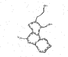 [CH2]CCCn1c(CCOC)nc2c(N)nc3ccccc3c21